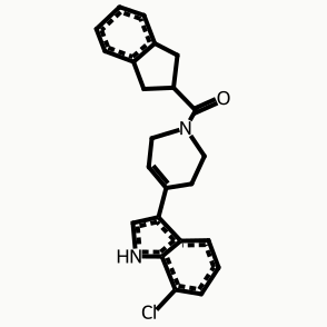 O=C(C1Cc2ccccc2C1)N1CC=C(c2c[nH]c3c(Cl)cccc23)CC1